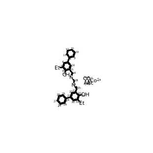 CC(=O)[O-].CC(=O)[O-].CCc1cc(-c2ccccc2)cc(C=NCN=Cc2cc(-c3ccccc3)cc(CC)c2O)c1O.[Co+2]